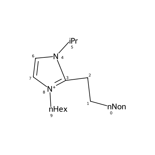 CCCCCCCCCCCc1n(C(C)C)cc[n+]1CCCCCC